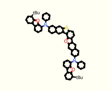 CC(C)(C)c1cccc2c1oc1c(N(c3ccccc3)c3ccc4cc5c(cc4c3)oc3c5ccc4sc5cc6cc(N(c7ccccc7)c7cccc8c7oc7c(C(C)(C)C)cccc78)ccc6cc5c43)cccc12